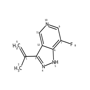 C=C(C)c1n[nH]c2c(F)cncc12